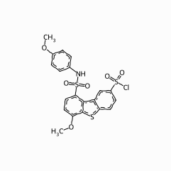 COc1ccc(NS(=O)(=O)c2ccc(OC)c3sc4ccc(S(=O)(=O)Cl)cc4c23)cc1